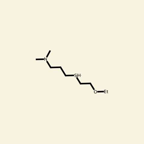 CCOCC[SiH]CCCN(C)C